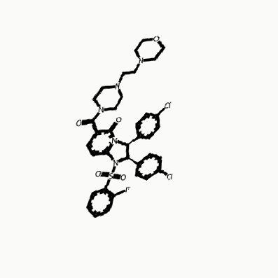 O=C(c1ccc2n(c1=O)[C@@H](c1ccc(Cl)cc1)[C@@H](c1ccc(Cl)cc1)N2S(=O)(=O)c1ccccc1F)N1CCN(CCN2CCOCC2)CC1